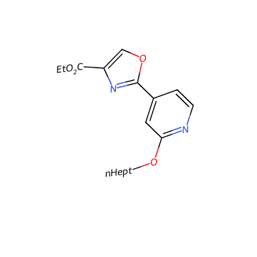 CCCCCCCOc1cc(-c2nc(C(=O)OCC)co2)ccn1